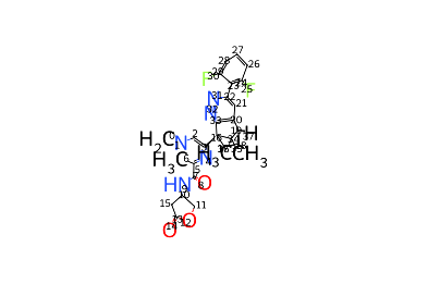 C=N/C=C(\N=C(/C)C(=O)N[C@@H]1COC(=O)C1)[C@@]12CC[C@@H](c3cc(-c4c(F)cccc4F)nnc31)C2(C)C